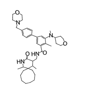 Cc1c(C(=O)NCC2C(=O)NC(C)C3(CCCCCCCC3)C2C)cc(-c2ccc(CN3CCOCC3)cc2)cc1N(C)C1CCOCC1